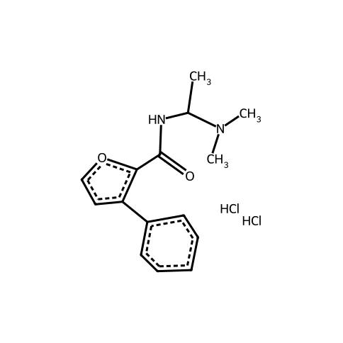 CC(NC(=O)c1occc1-c1ccccc1)N(C)C.Cl.Cl